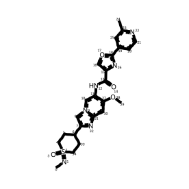 CN=S1(=O)CCC(c2cn3cc(NC(=O)c4coc(-c5ccnc(C)c5)n4)c(OC)cc3n2)CC1